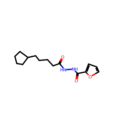 O=C(CCCCC1CCCC1)NNC(=O)c1ccco1